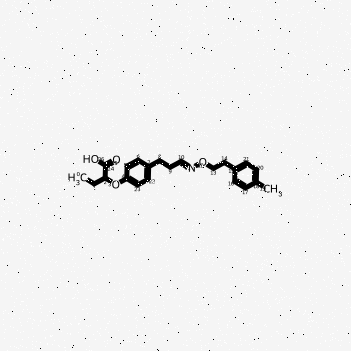 CCC(Oc1ccc(CCC=NOCCc2ccc(C)cc2)cc1)C(=O)O